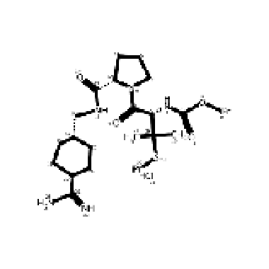 CC(C)OC(=O)N[C@@H](C(=O)N1CCC[C@H]1C(=O)NC[C@H]1CC[C@H](C(=N)N)CC1)C(C)(C)SC(C)C.Cl